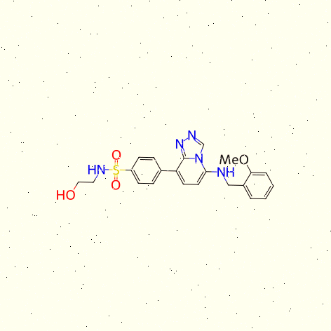 COc1ccccc1CNc1ccc(-c2ccc(S(=O)(=O)NCCO)cc2)c2nncn12